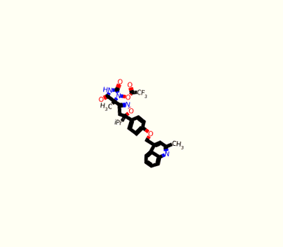 Cc1cc(COc2ccc(C3(C(C)C)CC(C4(C)C(=O)NC(=O)N4OC(=O)C(F)(F)F)=NO3)cc2)c2ccccc2n1